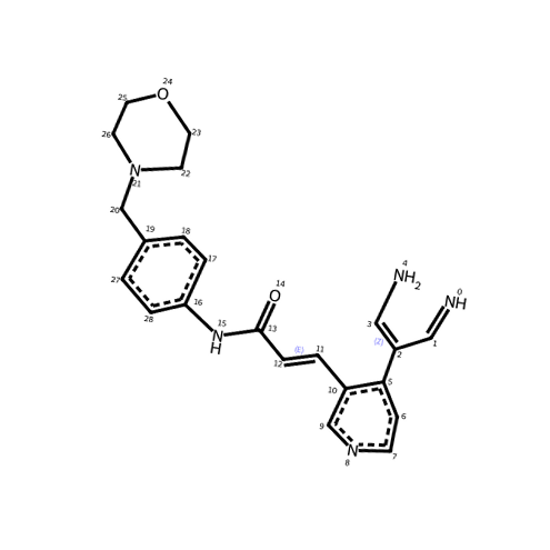 N=C/C(=C\N)c1ccncc1/C=C/C(=O)Nc1ccc(CN2CCOCC2)cc1